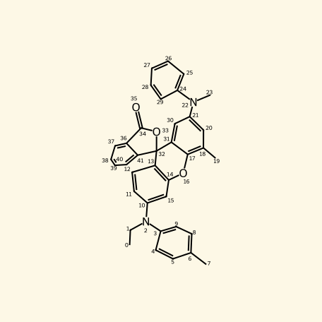 CCN(c1ccc(C)cc1)c1ccc2c(c1)Oc1c(C)cc(N(C)c3ccccc3)cc1C21OC(=O)c2ccccc21